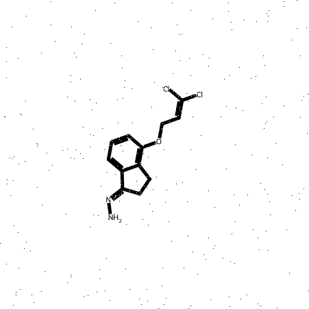 NN=C1CCc2c(OCC=C(Cl)Cl)cccc21